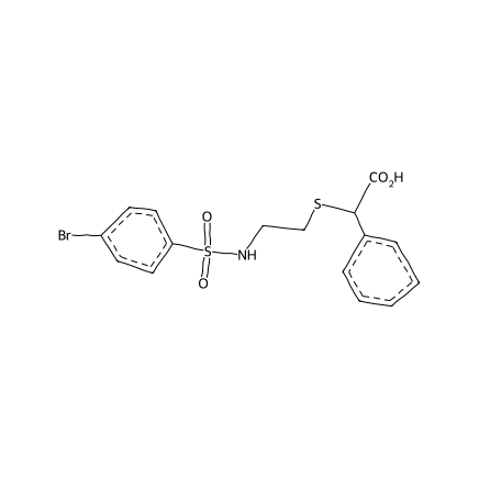 O=C(O)C(SCCNS(=O)(=O)c1ccc(Br)cc1)c1ccccc1